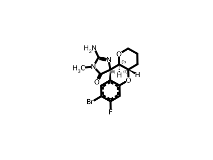 CN1C(=O)[C@@]2(N=C1N)c1cc(Br)c(F)cc1O[C@H]1CCCO[C@@H]12